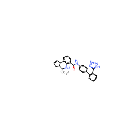 O=C(Nc1ccc(-c2ccccc2-c2nnn[nH]2)cc1)c1cccc2c1NC(C(=O)O)C1CC=CC21